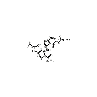 COC(=O)c1cnc(NC(=O)C2CC2)cc1Nc1csc2cnn(CC(C)OC)c(=O)c12